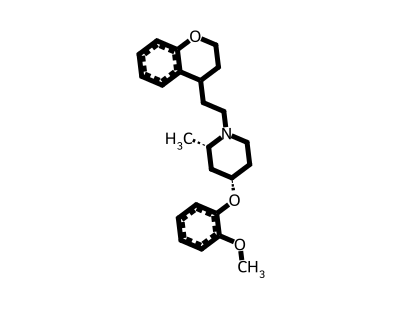 COc1ccccc1O[C@H]1CCN(CCC2CCOc3ccccc32)[C@@H](C)C1